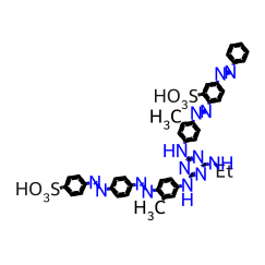 CCNc1nc(Nc2ccc(N=Nc3ccc(N=Nc4ccc(S(=O)(=O)O)cc4)cc3)c(C)c2)nc(Nc2ccc(N=Nc3ccc(N=Nc4ccccc4)cc3S(=O)(=O)O)c(C)c2)n1